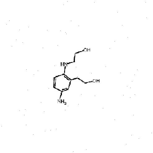 Nc1ccc(NCCO)c([CH]CO)c1